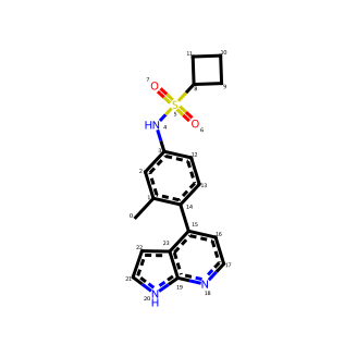 Cc1cc(NS(=O)(=O)C2CCC2)ccc1-c1ccnc2[nH]ccc12